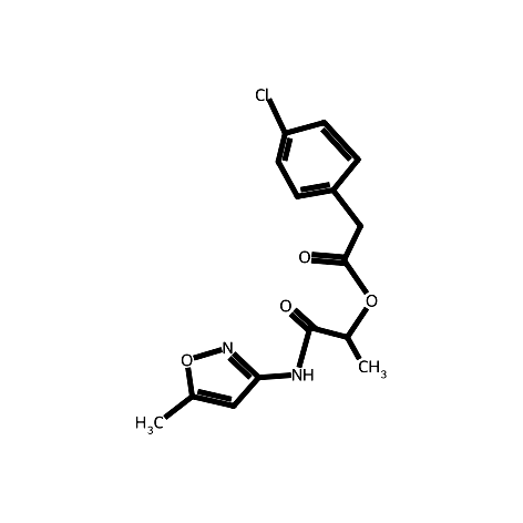 Cc1cc(NC(=O)C(C)OC(=O)Cc2ccc(Cl)cc2)no1